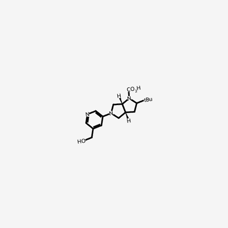 CC(C)(C)C1C[C@@H]2CN(c3cncc(CO)c3)C[C@@H]2N1C(=O)O